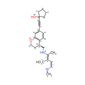 C=N/C=C\C(C(=O)O)=C(/C)NC[C@H]1CCOc2cc(C#CC3(O)CCCC3)ccc21